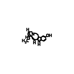 CC[C@H]1C[C@H]2C[C@@H]3CC1N(CCc1c3[nH]c3ccc(O)cc13)C2